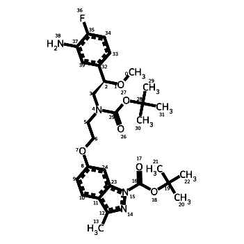 CO[C@@H](CN(CCOc1ccc2c(C)nn(C(=O)OC(C)(C)C)c2c1)C(=O)OC(C)(C)C)c1ccc(F)c(N)c1